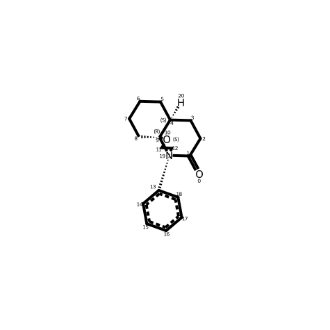 O=C1CC[C@@H]2CCCC[C@@]23OC[C@H](c2ccccc2)N13